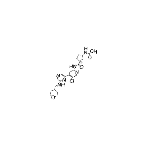 O=C(O)NC1CC[C@H](C(=O)Nc2cc(-c3cncc(NCC4CCOCC4)n3)c(Cl)cn2)C1